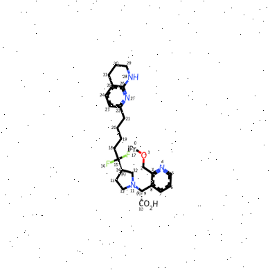 CC(C)OCc1ncccc1[C@H](C(=O)O)N1CC[C@@H](C(F)(F)CCCCc2ccc3c(n2)NCCC3)C1